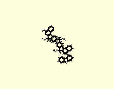 Cc1cc2c(c3ccccc13)-c1cc3c(cc1C2(C)C)-c1cc2c(cc1C3(C)C)-c1c(cc(-c3cccc4oc5ccccc5c34)c3ccccc13)C2(C)C